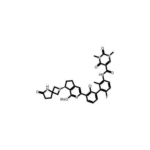 COc1nc(-c2cccc(-c3c(F)ccc(NC(=O)c4cn(C)c(=O)n(C)c4=O)c3C)c2Cl)cc2c1[C@@H](N1CC3(CCC(=O)N3)C1)CC2